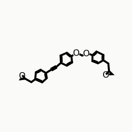 C(#Cc1ccc(OCOc2ccc(CC3CO3)cc2)cc1)c1ccc(CC2CO2)cc1